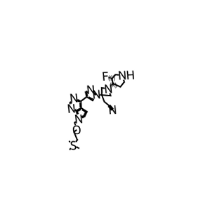 CS(C)(C)CCOCn1ccc2c(-c3cnn(C4(CC#N)CN([C@@H]5CCNC[C@@H]5F)C4)c3)ncnc21